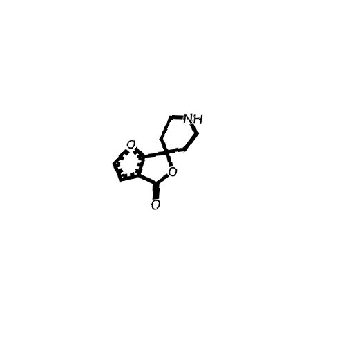 O=C1OC2(CCNCC2)c2occc21